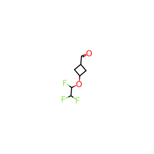 O=CC1CC(OC(F)C(F)F)C1